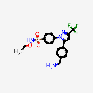 CCONS(=O)(=O)c1ccc(-n2nc(C(F)(F)F)cc2-c2ccc(CN)cc2)cc1